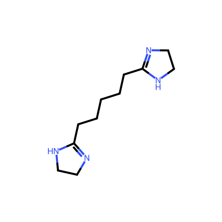 C(CCC1=NCCN1)CCC1=NCCN1